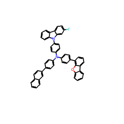 Fc1ccc2c3ccccc3n(-c3ccc(N(c4ccc(-c5ccc6ccccc6c5)cc4)c4ccc(-c5cccc6c5oc5ccccc56)cc4)cc3)c2c1